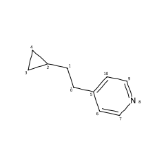 [CH](CC1CC1)c1ccncc1